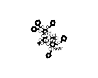 CC1O[C@@H](OC2C(OCc3ccccc3)C(N=[N+]=[N-])C(COCc3ccccc3)O[C@@H]2OC(=N)C(Cl)(Cl)Cl)C2OC(C)(C)OC2[C@H]1O[C@@H]1OC[C@@H](OCc2ccccc2)C(OCc2ccccc2)C1OCc1ccccc1